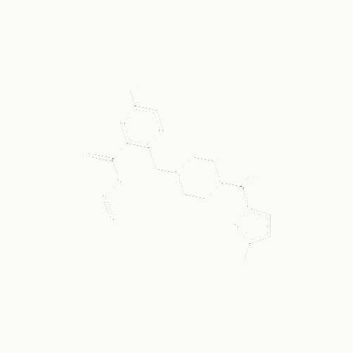 N=NNC(=N)c1cc(C(F)(F)F)ccc1CN1CCN(C(=O)n2ccc(C(=O)O)n2)CC1